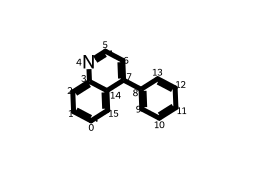 [c]1ccc2n[c]cc(-c3ccccc3)c2c1